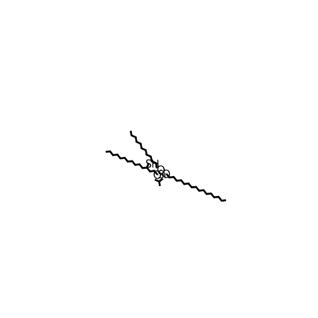 CCCCCCCCCCCCCCCCO[Si](CC(C)C)(OCCCCCCCCCCCC)OCCC(S)CCCCCCCCCCC